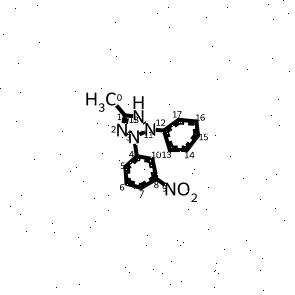 CC1=NN(c2cccc([N+](=O)[O-])c2)N(c2ccccc2)N1